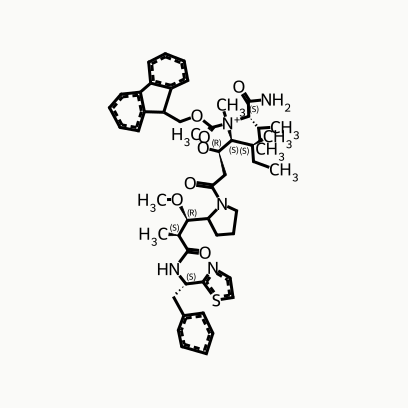 CC[C@H](C)[C@@H]([C@@H](CC(=O)N1CCCC1[C@H](OC)[C@H](C)C(=O)N[C@@H](Cc1ccccc1)c1nccs1)OC)[N+](C)(C(=O)OCC1c2ccccc2-c2ccccc21)[C@H](C(N)=O)C(C)C